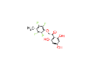 Cc1c(F)c(F)c(OCC(=O)c2c(O)cc(O)cc2O)c(F)c1F